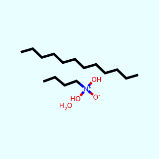 CCCCCCCCCCCC.CCCC[N+]([O-])(O)O.O